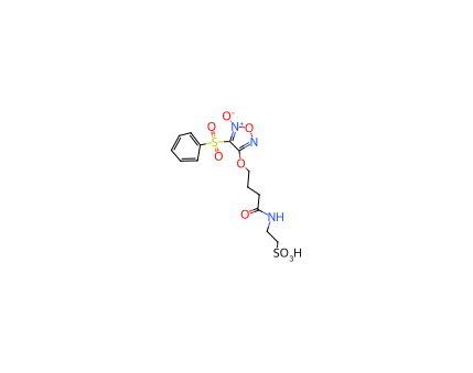 O=C(CCCOc1no[n+]([O-])c1S(=O)(=O)c1ccccc1)NCCS(=O)(=O)O